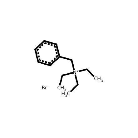 CC[N+](CC)(CC)Cc1ccccc1.[Br-]